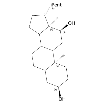 CCC[C@@H](C)C1CCC2C3CCC4C[C@H](O)CC[C@]4(C)C3C[C@H](O)[C@@]21C